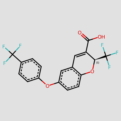 O=C(O)C1=Cc2cc(Oc3ccc(C(F)(F)F)cc3)ccc2O[C@@H]1C(F)(F)F